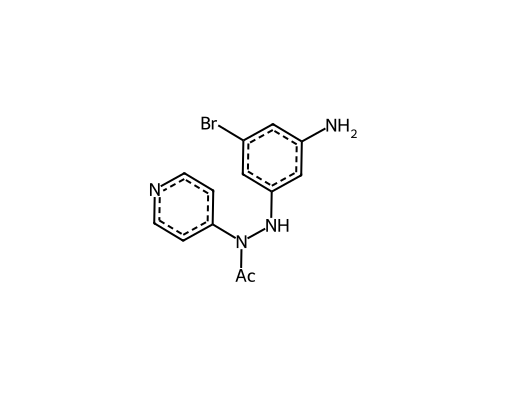 CC(=O)N(Nc1cc(N)cc(Br)c1)c1ccncc1